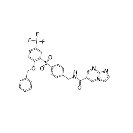 O=C(NCc1ccc(S(=O)(=O)c2cc(C(F)(F)F)ccc2OCc2ccccc2)cc1)c1cnc2nccn2c1